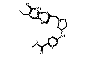 CCc1cc2ncc(CN3CC[C@H](Nc4ccc(C(=O)NC)nc4)C3)cc2[nH]c1=O